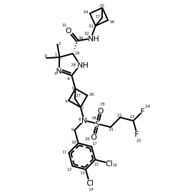 CC1(C)N=C(C23CC(N(Cc4ccc(Cl)c(Cl)c4)S(=O)(=O)CCC(F)F)(C2)C3)N[C@H]1C(=O)NC12CC(C1)C2